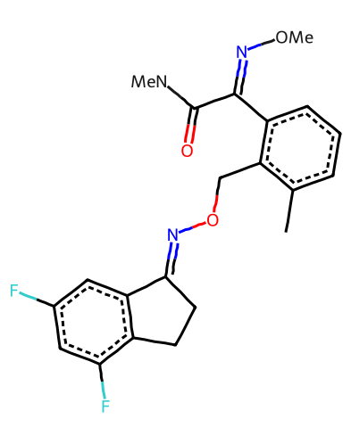 CNC(=O)/C(=N/OC)c1cccc(C)c1CO/N=C1\CCc2c(F)cc(F)cc21